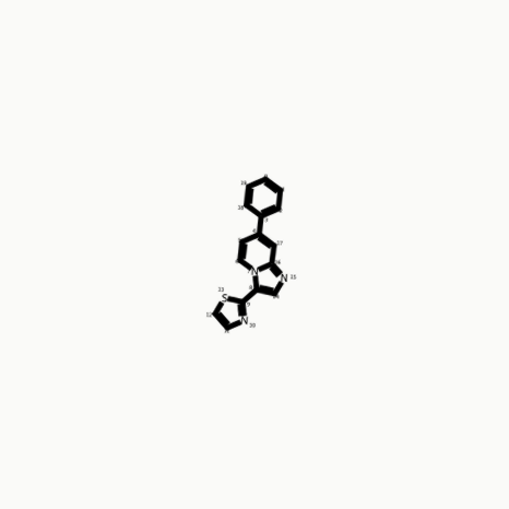 c1ccc(-c2ccn3c(-c4nccs4)cnc3c2)cc1